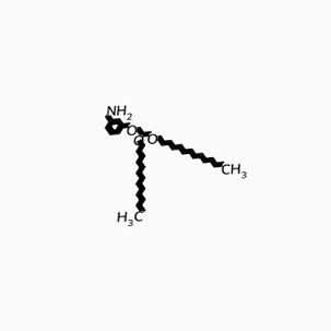 CCCCCCCCCCCCCCOCC(COCc1cccc(CN)c1)OCCCCCCCCCCCCCC